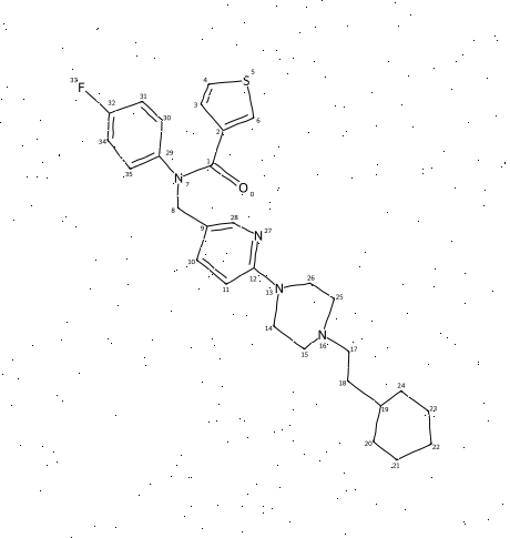 O=C(c1ccsc1)N(Cc1ccc(N2CCN(CCC3CCCCC3)CC2)nc1)c1ccc(F)cc1